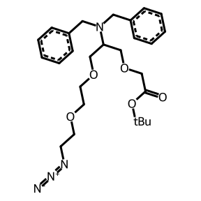 CC(C)(C)OC(=O)COCC(COCCOCCN=[N+]=[N-])N(Cc1ccccc1)Cc1ccccc1